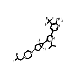 CC(C)n1nc(-c2cnc(N)c(C(F)(F)F)c2)cc1C1[C@H]2C[C@@H](N3CCN(CC(F)F)CC3)C[C@@H]12